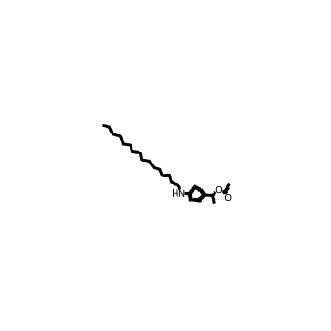 CCCCCCCCCCCCCCCCNc1ccc(C(C)OC(C)=O)cc1